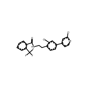 O=C(NCCc1ccc(-c2ccnc(Cl)c2)cc1Cl)c1ccccc1C(F)(F)F